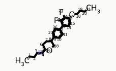 CCC/C=C/C1CCC(c2ccc(-c3ccc(OCCCC)c(F)c3F)cc2)CO1